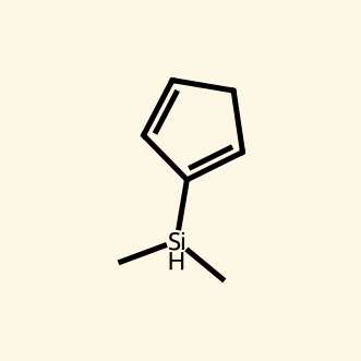 C[SiH](C)C1=CCC=C1